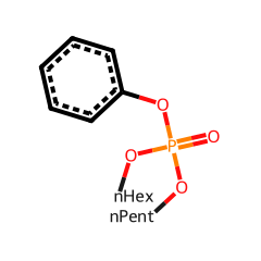 CCCCCCOP(=O)(OCCCCC)Oc1ccccc1